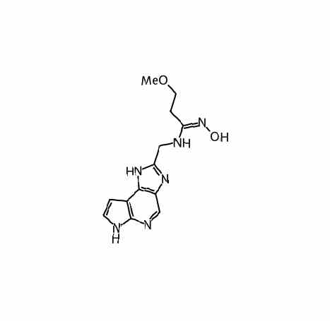 COCC/C(=N/O)NCc1nc2cnc3[nH]ccc3c2[nH]1